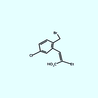 CCC(=Cc1cc(Cl)ccc1CBr)C(=O)O